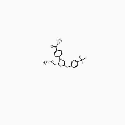 COC[C@@H]1CC(Cc2ccc(C(F)(F)F)cc2)CN1c1ccc(C(=O)OC)cc1